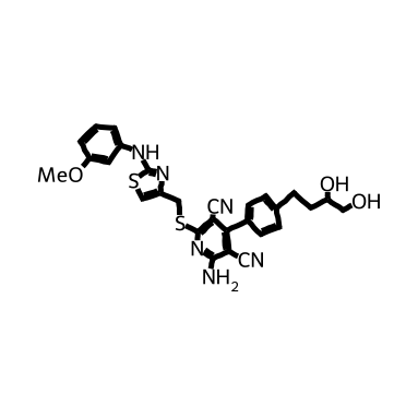 COc1cccc(Nc2nc(CSc3nc(N)c(C#N)c(-c4ccc(CCC(O)CO)cc4)c3C#N)cs2)c1